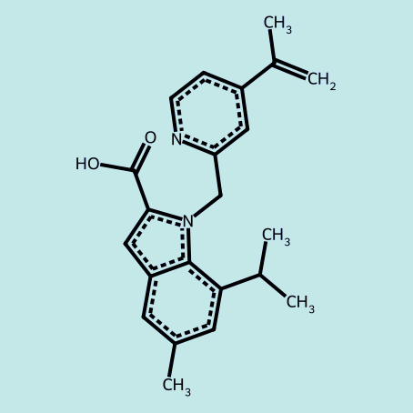 C=C(C)c1ccnc(Cn2c(C(=O)O)cc3cc(C)cc(C(C)C)c32)c1